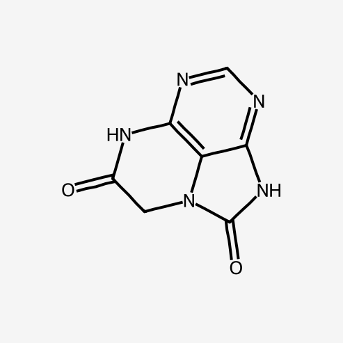 O=C1Cn2c(=O)[nH]c3ncnc(c32)N1